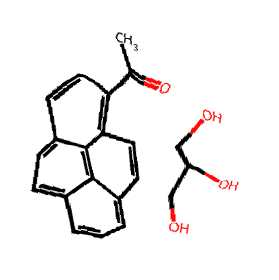 CC(=O)c1ccc2ccc3cccc4ccc1c2c34.OCC(O)CO